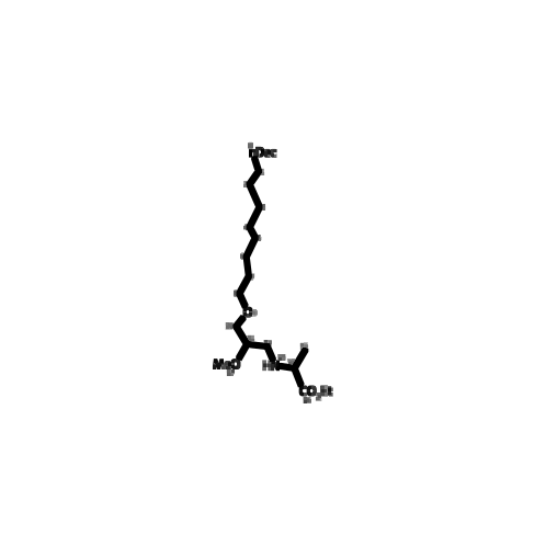 CCCCCCCCCCCCCCCCCCOCC(CNC(C)C(=O)OCC)OC